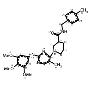 COc1cc(Nc2ncc(C)c(N3CCCC(C(=O)NCc4ccc(C)cc4)C3)n2)cc(OC)c1OC